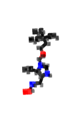 Cc1c(/C=N/O)ncn1COCC[Si](C)(C)C